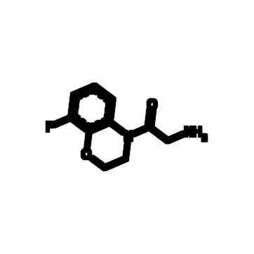 NCC(=O)N1CCOc2c(F)cccc21